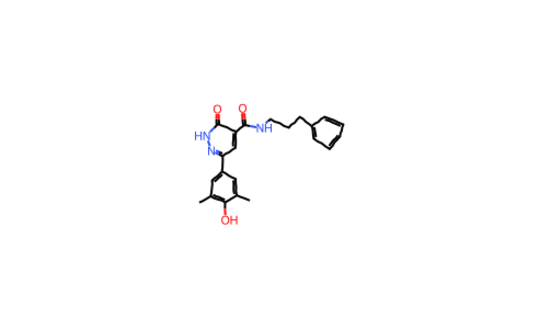 Cc1cc(-c2cc(C(=O)NCCCc3ccccc3)c(=O)[nH]n2)cc(C)c1O